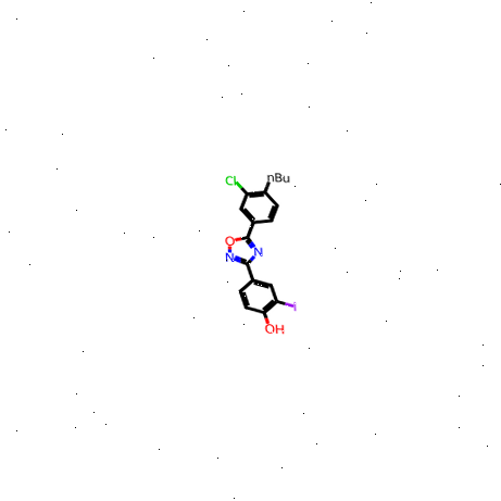 CCCCc1ccc(-c2nc(-c3ccc(O)c(I)c3)no2)cc1Cl